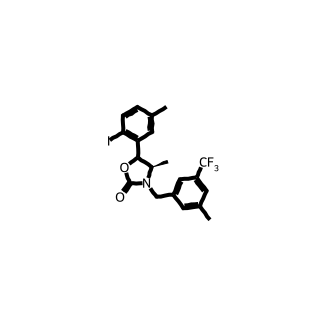 Cc1cc(CN2C(=O)OC(c3cc(C)ccc3I)[C@H]2C)cc(C(F)(F)F)c1